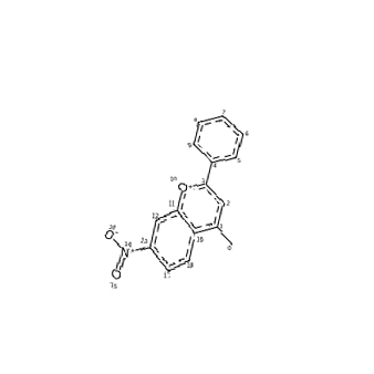 Cc1cc(-c2ccccc2)[o+]c2cc([N+](=O)[O-])ccc12